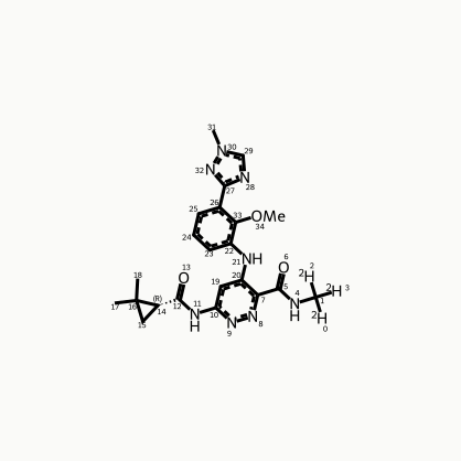 [2H]C([2H])([2H])NC(=O)c1nnc(NC(=O)[C@@H]2CC2(C)C)cc1Nc1cccc(-c2ncn(C)n2)c1OC